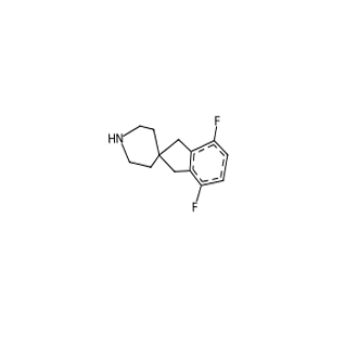 Fc1ccc(F)c2c1CC1(CCNCC1)C2